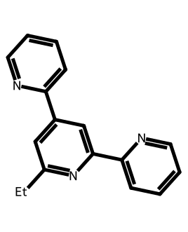 CCc1cc(-c2ccccn2)cc(-c2ccccn2)n1